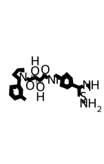 Cc1cccc(C2CCCN2C(=O)[C@H](O)[C@@H](O)C(=O)NCc2ccc(C(CSN)NI)cc2)c1